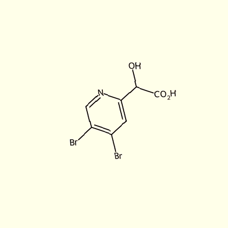 O=C(O)C(O)c1cc(Br)c(Br)cn1